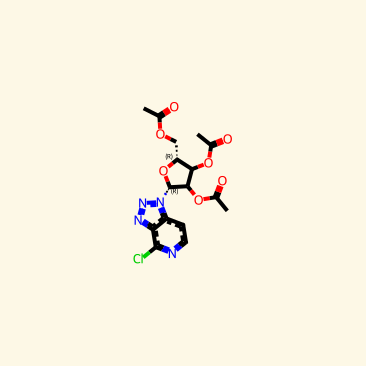 CC(=O)OC[C@H]1O[C@@H](n2nnc3c(Cl)nccc32)C(OC(C)=O)C1OC(C)=O